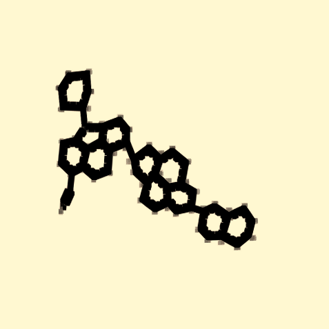 N#Cc1ccc2c3c1ccc1c(-c4cc5ccc6cc(-c7ccc8ccccc8c7)cc7ccc(c4)c5c67)ccc(c13)n2-c1ccccc1